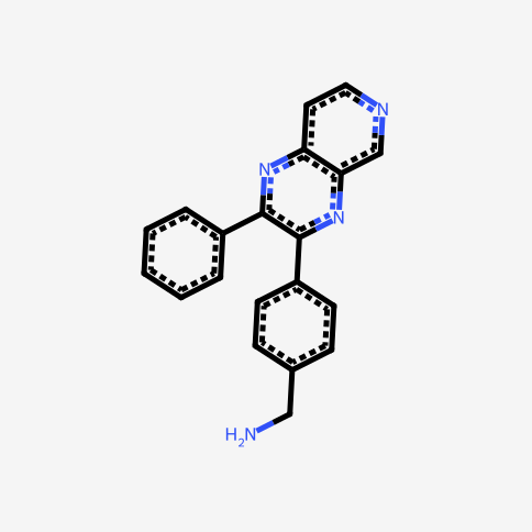 NCc1ccc(-c2nc3cnccc3nc2-c2ccccc2)cc1